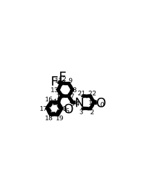 O=C1CCN(C(=O)C2CCC(F)(F)CC2c2ccccc2)CC1